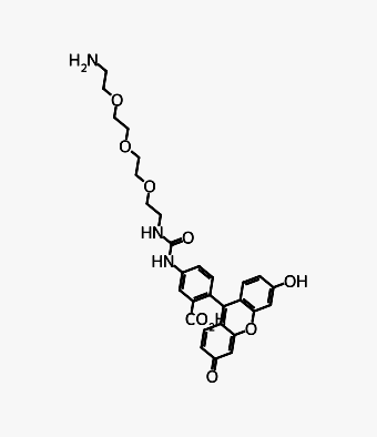 NCCOCCOCCOCCNC(=O)Nc1ccc(-c2c3ccc(=O)cc-3oc3cc(O)ccc23)c(C(=O)O)c1